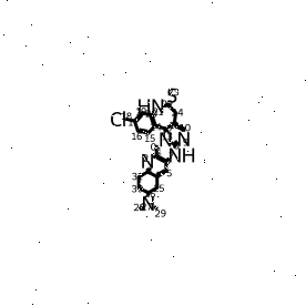 Cc1nc2c(cc1Nc1ncc3c(n1)-c1ccc(Cl)cc1NC(=S)C3)CC(N(C)C)CC2